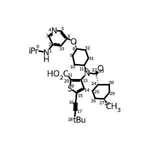 CC(C)Nc1cncc(O[C@H]2CC[C@H](N(c3cc(C#CC(C)(C)C)sc3C(=O)O)C(=O)[C@H]3CC[C@H](C)CC3)CC2)c1